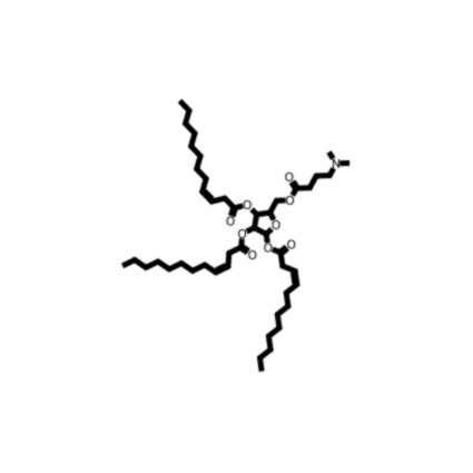 CCCCCCCC/C=C\CC(=O)OC1OC(COC(=O)CCCN(C)C)C(OC(=O)C/C=C\CCCCCCCC)C1OC(=O)C/C=C\CCCCCCCC